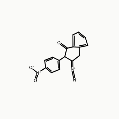 [N-]=[N+]=C1Cc2ccccc2C(=O)C1c1ccc([N+](=O)[O-])cc1